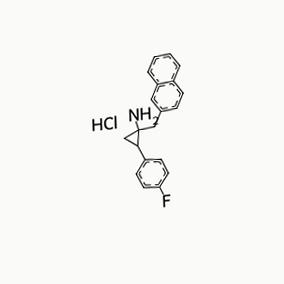 Cl.NC1(Cc2ccc3ccccc3c2)CC1c1ccc(F)cc1